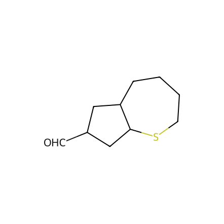 O=CC1CC2CCCCSC2C1